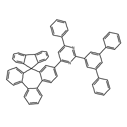 c1ccc(-c2cc(-c3ccccc3)cc(-c3nc(-c4ccccc4)cc(-c4ccc5c(c4)C4(c6ccccc6-c6ccccc6-5)c5ccccc5-c5ccccc54)n3)c2)cc1